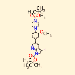 COc1cc(-c2cnc3c(c2)c(I)cn3C(=O)OC(C)(C)C)ccc1N1CCN(C(=O)OC(C)(C)C)CC1